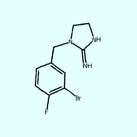 N=C1NCCN1Cc1ccc(F)c(Br)c1